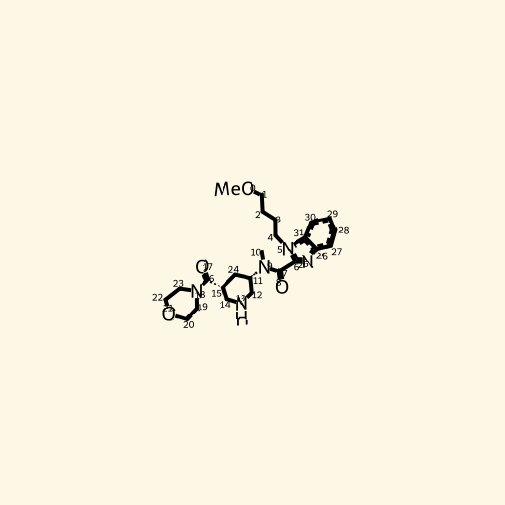 COCCCCn1c(C(=O)N(C)[C@@H]2CNC[C@H](C(=O)N3CCOCC3)C2)nc2ccccc21